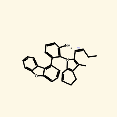 CC/C=C\c1c(C)c2c(n1-c1c(N)cccc1-c1cccc3oc4ccccc4c13)C=CCC2